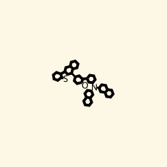 c1ccc2cc(N(c3ccc4ccccc4c3)c3cccc4c3oc3ccc(-c5c6ccccc6cc6c5sc5ccccc56)cc34)ccc2c1